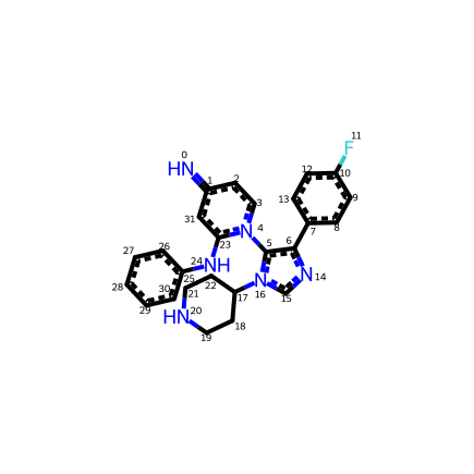 N=c1ccn(-c2c(-c3ccc(F)cc3)ncn2C2CCNCC2)c(Nc2ccccc2)c1